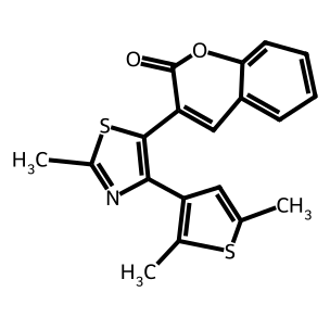 Cc1cc(-c2nc(C)sc2-c2cc3ccccc3oc2=O)c(C)s1